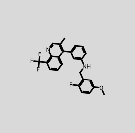 COc1ccc(F)c(CNc2cccc(-c3c(C)cnc4c(C(F)(F)F)cccc34)c2)c1